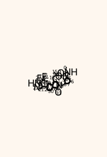 CNC(=O)c1cccc(Cn2cc(CC(C)O)c3cc(-c4cn[nH]c4C(F)(F)F)ccc3c2=O)c1